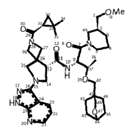 COC[C@H]1CCCN(C(=O)[C@@H](NC(=O)[C@@H]2CN(c3n[nH]c4ncccc34)CC23CN(C(=O)[C@H]2CC2(C)C)C3)[C@@H](C)OCC23CCC(CC2)OC3)C1